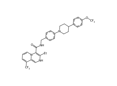 CCC1=C(C(=O)NCc2ccc(N3CCC(c4ccc(OC(F)(F)F)cc4)CC3)cc2)N2C=CC=C(C(F)(F)F)C2=CN1